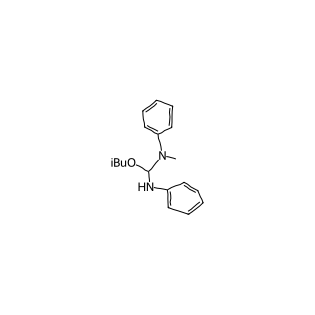 CC(C)COC(Nc1ccccc1)N(C)c1ccccc1